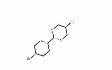 CC[C@H]1CO[C@H]([C@H]2CC[C@H](Br)CC2)OC1